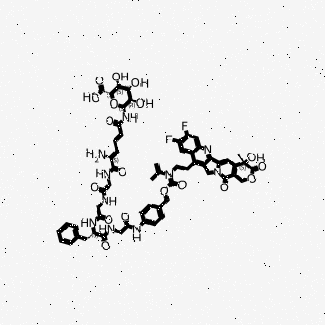 CC(C)N(CCc1c2c(nc3cc(F)c(F)cc13)-c1cc3c(c(=O)n1C2)COC(=O)[C@@]3(C)O)C(=O)OCc1ccc(NC(=O)CNC(=O)[C@H](Cc2ccccc2)NC(=O)CNC(=O)CNC(=O)[C@@H](N)CCCC(=O)N[C@H]2O[C@H](C(=O)O)[C@@H](O)[C@H](O)[C@H]2O)cc1